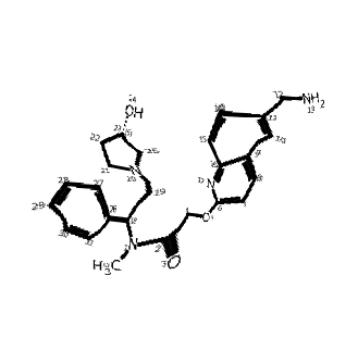 CN(C(=O)COc1ccc2cc(CN)ccc2n1)C(CN1CC[C@H](O)C1)c1ccccc1